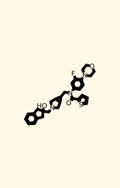 O=C(c1cccs1)N(CC1C2CN(CC3(O)Cc4ccccc4C3)CC21)c1ccc(N2CCOCC2)c(F)c1